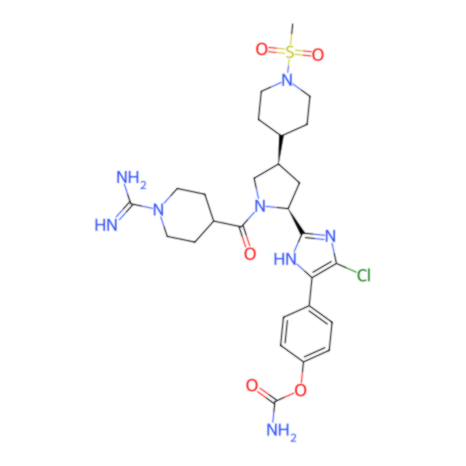 CS(=O)(=O)N1CCC([C@H]2C[C@@H](c3nc(Cl)c(-c4ccc(OC(N)=O)cc4)[nH]3)N(C(=O)C3CCN(C(=N)N)CC3)C2)CC1